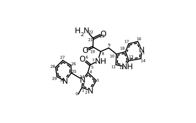 Cc1ncc(C(=O)NC(Cc2c[nH]c3cnccc23)C(=O)C(N)=O)n1-c1ccccn1